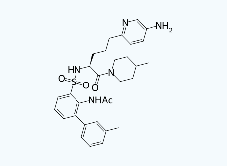 CC(=O)Nc1c(-c2cccc(C)c2)cccc1S(=O)(=O)N[C@@H](CCCc1ccc(N)cn1)C(=O)N1CCC(C)CC1